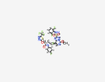 CC(C)N(C(=O)COc1nnc(C(F)(F)F)s1)c1ccc(F)cc1.COc1ncc(F)c2nc(S(=O)(=O)Nc3c(F)cccc3F)nn12